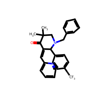 CC1(C)CN(Cc2ccccc2)C(c2ccc(C(F)(F)F)cc2)/C(=C\c2ccccn2)C1=O